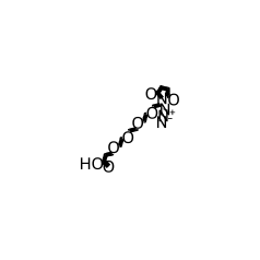 [N-]=[N+]=NC(COCCOCCOCCOCCC(=O)O)N1C(=O)CCC1=O